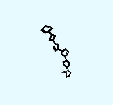 O=C1CCCN1c1ccc(-c2cncc(-c3ccn(C4CC(c5ccccc5)C4)c3)c2)cc1